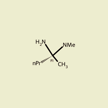 CCC[C@](C)(N)NC